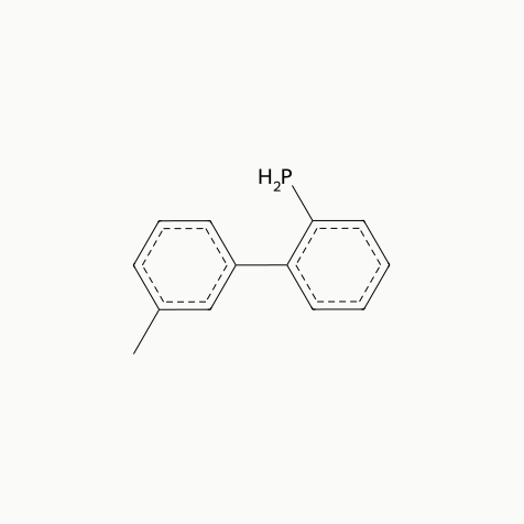 Cc1cccc(-c2ccccc2P)c1